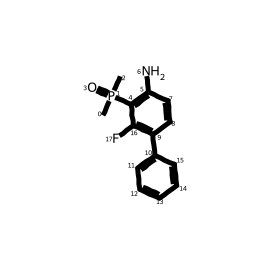 CP(C)(=O)c1c(N)ccc(-c2ccccc2)c1F